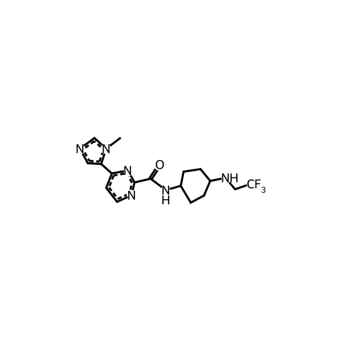 Cn1cncc1-c1ccnc(C(=O)NC2CCC(NCC(F)(F)F)CC2)n1